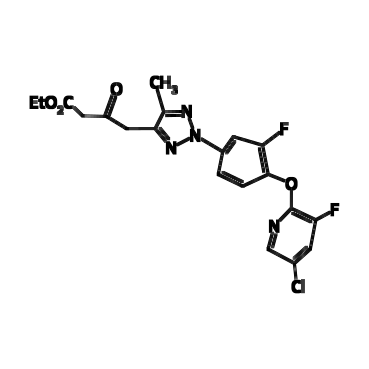 CCOC(=O)CC(=O)Cc1nn(-c2ccc(Oc3ncc(Cl)cc3F)c(F)c2)nc1C